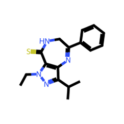 CCn1nc(C(C)C)c2c1C(=S)NCC(c1ccccc1)=N2